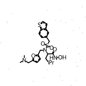 CC(C)CC(C(=O)NO)N(Cc1ccc(CN(C)C)o1)S(=O)(=O)Cc1ccc2sccc2c1